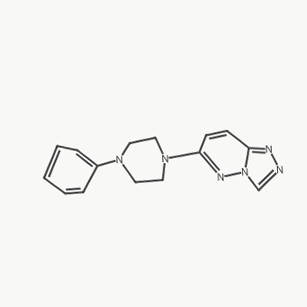 c1ccc(N2CCN(c3ccc4nncn4n3)CC2)cc1